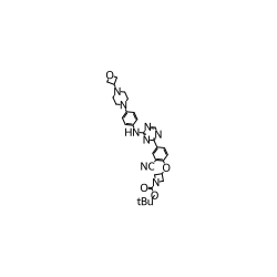 CC(C)(C)OC(=O)N1CC(Oc2ccc(-c3ncnc(Nc4ccc(N5CCN(C6COC6)CC5)cc4)n3)cc2C#N)C1